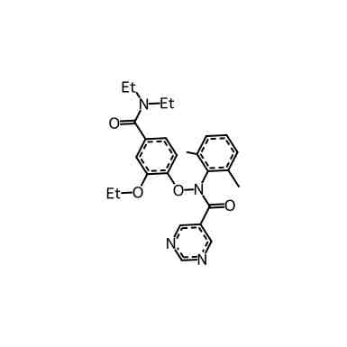 CCOc1cc(C(=O)N(CC)CC)ccc1ON(C(=O)c1cncnc1)c1c(C)cccc1C